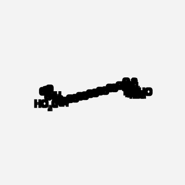 CCCC[C@H](NC=O)C(=O)N[C@@H](CC(C)C)C(=O)N[C@@H](CCc1ccccc1)C(=O)NCCOCCOCCOCCOCCOCCOCCOCCOCCOCCOCCOCCOCCC(=O)N[C@@H](CCCCNC(=O)CCN1C(=O)C=CC1=O)C(=O)O